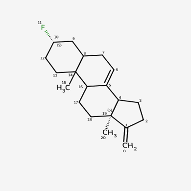 C=C1CCC2C3=CCC4C[C@@H](F)CCC4(C)C3CC[C@]12C